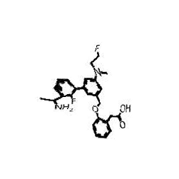 CC(N)c1cccc(-c2cc(COc3ccccc3CC(=O)O)cc(N(C)CCF)c2)c1F